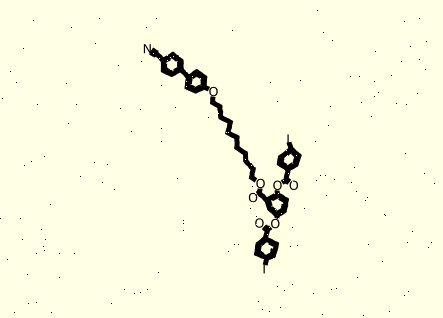 N#Cc1ccc(-c2ccc(OCCCCCCCCCCCOC(=O)c3cc(OC(=O)c4ccc(I)cc4)ccc3OC(=O)c3ccc(I)cc3)cc2)cc1